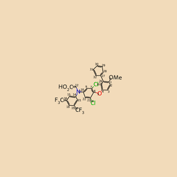 COc1ccc(Oc2c(Cl)cc(N(CC(=O)O)c3cc(C(F)(F)F)cc(C(F)(F)F)c3)cc2Cl)cc1-c1ccccc1